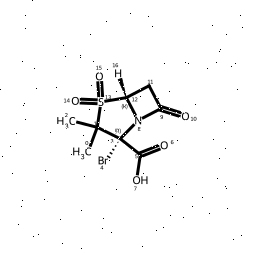 CC1(C)[C@](Br)(C(=O)O)N2C(=O)C[C@H]2S1(=O)=O